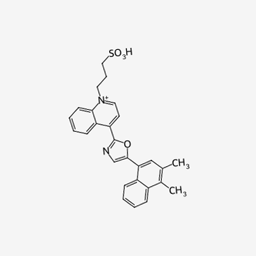 Cc1cc(-c2cnc(-c3cc[n+](CCCS(=O)(=O)O)c4ccccc34)o2)c2ccccc2c1C